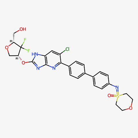 O=S1(=Nc2ccc(-c3ccc(-c4nc5nc(O[C@@H]6CO[C@H](CO)C6(F)F)[nH]c5cc4Cl)cc3)cc2)CCOCC1